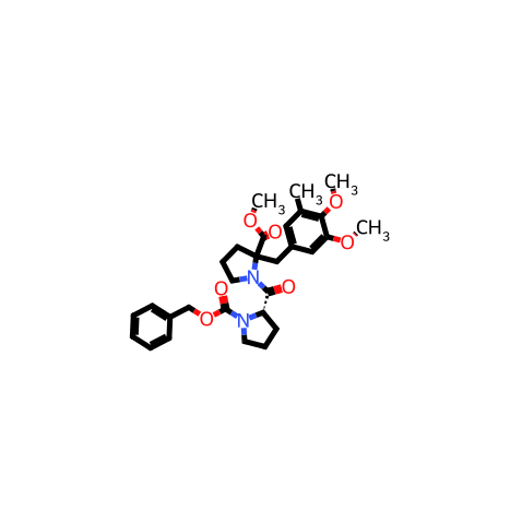 COC(=O)C1(Cc2cc(C)c(OC)c(OC)c2)CCCN1C(=O)[C@@H]1CCCN1C(=O)OCc1ccccc1